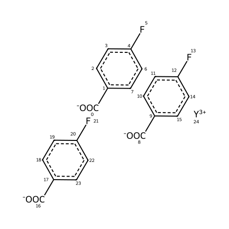 O=C([O-])c1ccc(F)cc1.O=C([O-])c1ccc(F)cc1.O=C([O-])c1ccc(F)cc1.[Y+3]